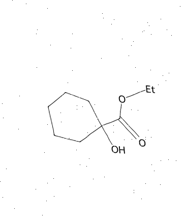 CCOC(=O)C1(O)CCCCC1